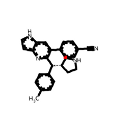 Cc1ccc(C(c2nc3cc[nH]c3cc2-c2ccc(C#N)cc2)[C@H]2CCNC2)cc1